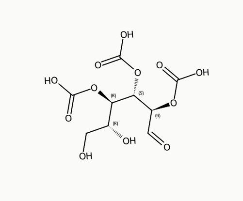 O=C[C@H](OC(=O)O)[C@@H](OC(=O)O)[C@H](OC(=O)O)[C@H](O)CO